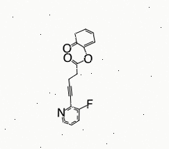 O=C(CCC#Cc1ncccc1F)OC1=CC=CCC1=O